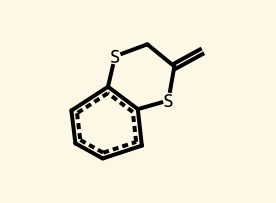 C=C1CSc2ccccc2S1